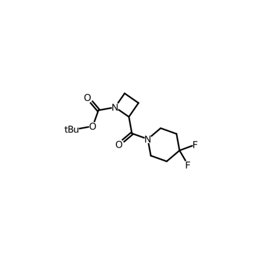 CC(C)(C)OC(=O)N1CCC1C(=O)N1CCC(F)(F)CC1